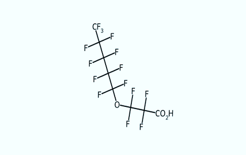 O=C(O)C(F)(F)C(F)(F)OC(F)(F)C(F)(F)C(F)(F)C(F)(F)C(F)(F)F